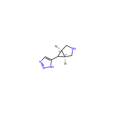 c1nn[nH]c1C1[C@H]2CNC[C@@H]12